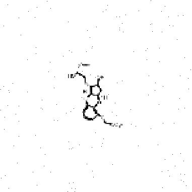 CCCCC[C@@H](O)CC[C@H]1[C@@H]2Oc3cccc(OCC(=O)O)c3O[C@@H]2C[C@@H]1O